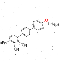 CCCCCCCOc1ccc(-c2ccc(-c3ccc(CCC)c(C#N)c3C#N)cc2)cc1